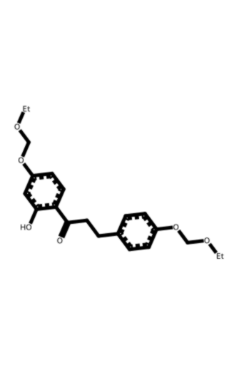 CCOCOc1ccc(CCC(=O)c2ccc(OCOCC)cc2O)cc1